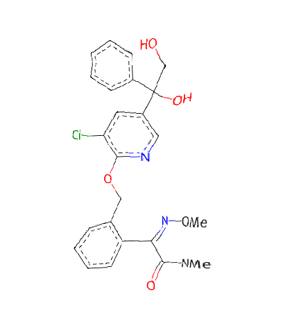 CNC(=O)C(=NOC)c1ccccc1COc1ncc(C(O)(CO)c2ccccc2)cc1Cl